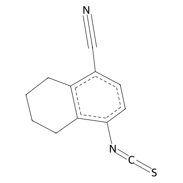 N#Cc1ccc(N=C=S)c2c1CCCC2